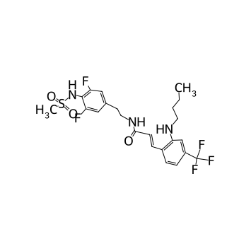 CCCCNc1cc(C(F)(F)F)ccc1C=CC(=O)NCCc1cc(F)c(NS(C)(=O)=O)c(F)c1